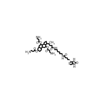 C[C@H](CCC(=O)NCCCCCCNC(=O)CCCC[C@H]1SCC2NC(=O)NC21)C1CCC2C3C(OC(=O)CCN)CC4CC(OC(=O)CCN)CCC4C3CC(OC(=O)CCN)C21